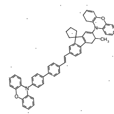 CC1CC2=C(C=C1N1C3=C(C=CCC3)Oc3ccccc31)C1(CCCC1)c1cc(/C=C/c3ccc(-c4ccc(N5c6ccccc6Oc6ccccc65)cc4)cc3)ccc12